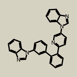 c1cc(-c2ccccc2-c2ccc(-n3cnc4ccccc43)cn2)cc(-n2cnc3ccccc32)c1